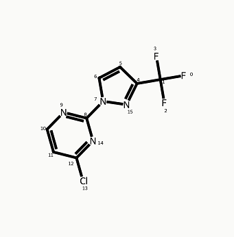 FC(F)(F)c1ccn(-c2nccc(Cl)n2)n1